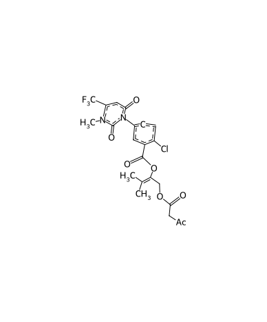 CC(=O)CC(=O)OCC(OC(=O)c1cc(-n2c(=O)cc(C(F)(F)F)n(C)c2=O)ccc1Cl)=C(C)C